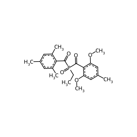 CCP(=O)(C(=O)c1c(C)cc(C)cc1C)C(=O)c1c(OC)cc(C)cc1OC